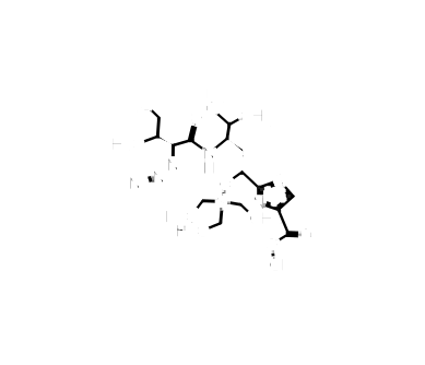 CCC(C)[C@H](N=[N+]=[N-])C(=O)N[C@H](C[C@@H](O[Si](CC)(CC)CC)c1nc(C(=O)OC)cs1)C(C)C